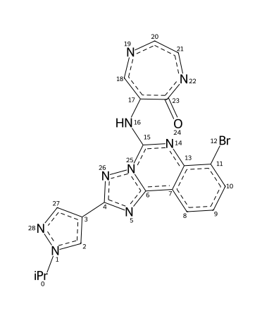 CC(C)n1cc(-c2nc3c4cccc(Br)c4nc(Nc4cnccnc4=O)n3n2)cn1